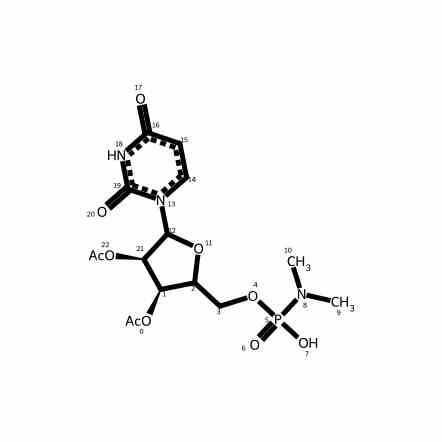 CC(=O)O[C@@H]1C(COP(=O)(O)N(C)C)OC(n2ccc(=O)[nH]c2=O)[C@@H]1OC(C)=O